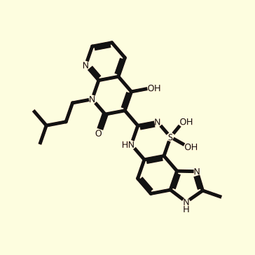 Cc1nc2c3c(ccc2[nH]1)NC(c1c(O)c2cccnc2n(CCC(C)C)c1=O)=NS3(O)O